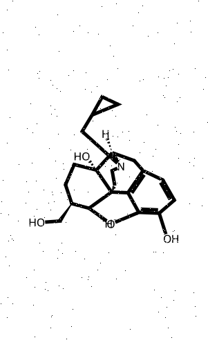 OC[C@H]1CC[C@@]2(O)[C@H]3Cc4ccc(O)c5c4[C@@]2(CCN3CC2CC2)[C@H]1O5